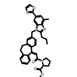 CCCc1nc2c(C)cc(-c3ncco3)cc2n1Cc1ccc2c(c1)CCc1ccccc1/C2=C\C(=O)N1CCCC1C(=O)OC